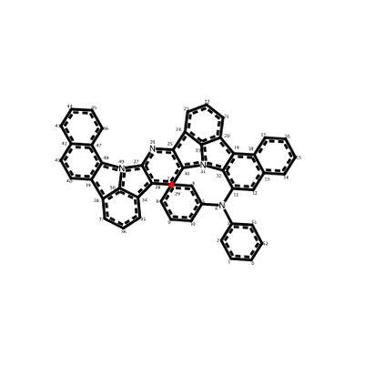 c1ccc(N(c2ccccc2)c2cc3ccccc3c3c4cccc5c6nc7c(cc6n(c23)c54)c2cccc3c4ccc5ccccc5c4n7c23)cc1